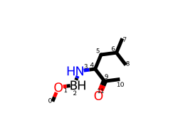 COBNC(CC(C)C)C(C)=O